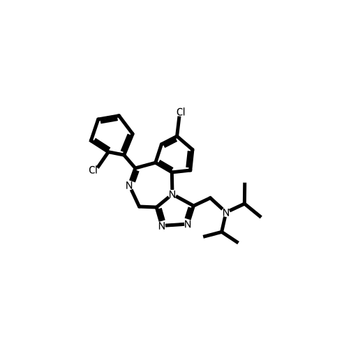 CC(C)N(Cc1nnc2n1-c1ccc(Cl)cc1C(c1ccccc1Cl)=NC2)C(C)C